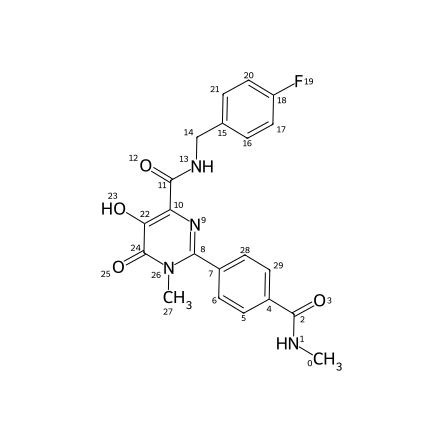 CNC(=O)c1ccc(-c2nc(C(=O)NCc3ccc(F)cc3)c(O)c(=O)n2C)cc1